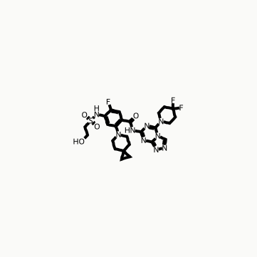 O=C(Nc1nc(N2CCC(F)(F)CC2)n2cnnc2n1)c1cc(F)c(NS(=O)(=O)CCO)cc1N1CCC2(CC1)CC2